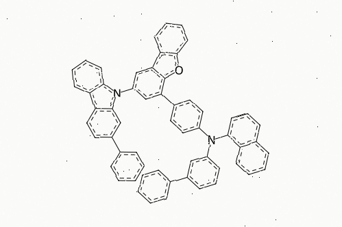 c1ccc(-c2cccc(N(c3ccc(-c4cc(-n5c6ccccc6c6ccc(-c7ccccc7)cc65)cc5c4oc4ccccc45)cc3)c3cccc4ccccc34)c2)cc1